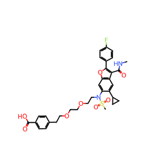 CNC(=O)c1c(-c2ccc(F)cc2)oc2cc(N(CCOCCOCCc3ccc(C(=O)O)cc3)S(C)(=O)=O)c(C3CC3)cc12